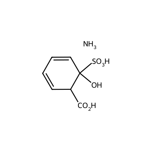 N.O=C(O)C1C=CC=CC1(O)S(=O)(=O)O